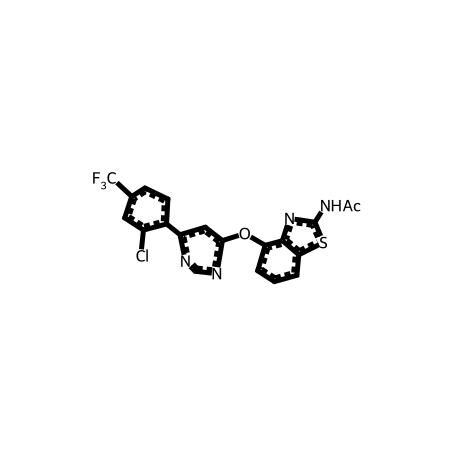 CC(=O)Nc1nc2c(Oc3cc(-c4ccc(C(F)(F)F)cc4Cl)ncn3)cccc2s1